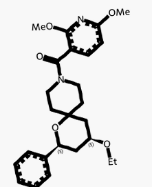 CCO[C@H]1C[C@@H](c2ccccc2)OC2(CCN(C(=O)c3ccc(OC)nc3OC)CC2)C1